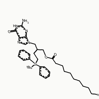 CCCCCCCCCCCCCCCCCCCC(=O)OCC(CC[Si](c1ccccc1)(c1ccccc1)C(C)(C)C)Cn1cnc2c(=O)[nH]c(N)nc21